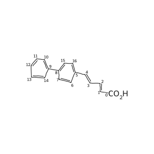 O=C(O)C=CC=Cc1ccc(-c2ccccc2)cc1